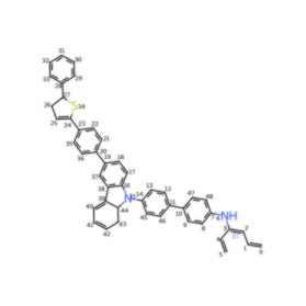 C=C/C=C(\C=C)Nc1ccc(-c2ccc(N3c4ccc(-c5ccc(C6=CCC(c7ccccc7)S6)cc5)cc4C4=CC=CCC43)cc2)cc1